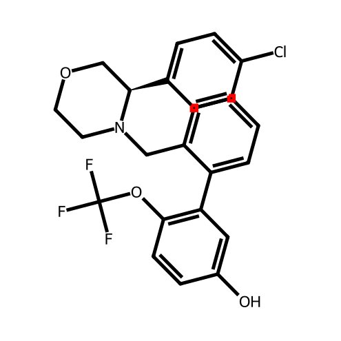 Oc1ccc(OC(F)(F)F)c(-c2ccccc2CN2CCOC[C@H]2c2ccc(Cl)cc2)c1